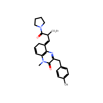 CCOC(=O)C(C=C1CC=Cc2c1nc(Cc1ccc(C#N)cc1)c(=O)n2C)C(=O)N1CCCC1